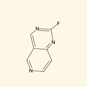 Fc1ncc2cnccc2n1